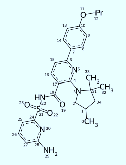 CC1CN(c2nc(-c3ccc(OC(C)C)cc3)ccc2C(=O)NS(=O)(=O)c2cccc(N)n2)C(C)(C)C1